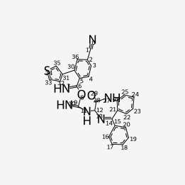 N#Cc1ccc(C(=N)OC(=N)NC2N=C(c3ccccc3)c3ccccc3NC2=O)c(-c2ccsc2)c1